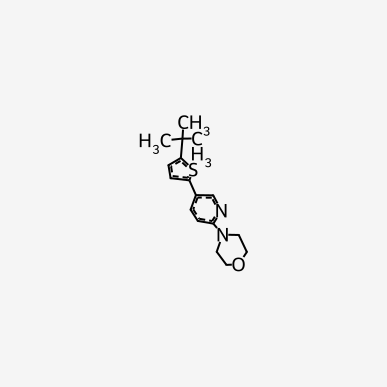 CC(C)(C)c1ccc(-c2ccc(N3CCOCC3)nc2)s1